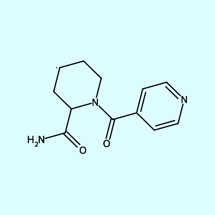 NC(=O)C1C[CH]CCN1C(=O)c1ccncc1